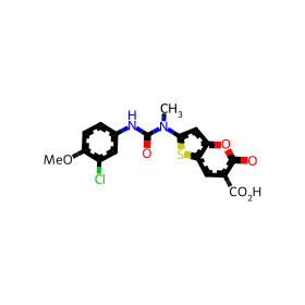 COc1ccc(NC(=O)N(C)c2cc3oc(=O)c(C(=O)O)cc3s2)cc1Cl